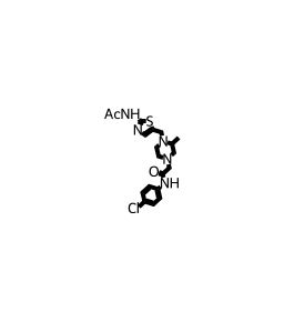 CC(=O)Nc1ncc(CN2CCN(CC(=O)Nc3ccc(Cl)cc3)CC2C)s1